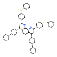 c1ccc(Sc2ccc(-c3cc(-c4ccc(-c5ccccc5)cc4)c4ccc5c(-c6ccc(-c7ccccc7)cc6)cc(-c6ccc(Sc7ccccc7)cc6)nc5c4n3)cc2)cc1